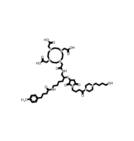 Cc1ccc(CCCC(=O)NCCCCC(CNC(=O)CN2CCN(CC(=O)O)CCN(CC(=O)O)CCN(CC(=O)O)CC2)SC2CC(=O)N(CCCC(=O)N3CCN(CCCCO)CC3)C2=O)cc1